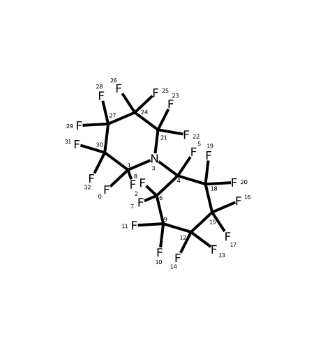 FC1(F)N(C2(F)C(F)(F)C(F)(F)C(F)(F)C(F)(F)C2(F)F)C(F)(F)C(F)(F)C(F)(F)C1(F)F